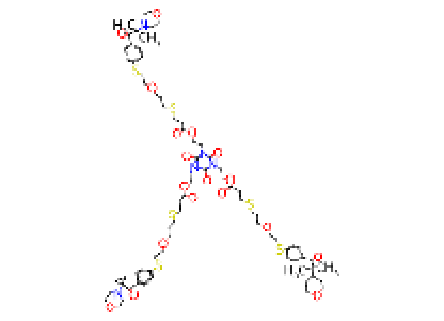 CC(C)(C(=O)c1ccc(SCCOCCCSCCC(=O)OCCn2c(=O)n(CCOC(=O)CCSCCCOCCSc3ccc(C(=O)C(C)(C)N4CCOCC4)cc3)c(=O)n(CCOC(=O)CCSCCCOCCSc3ccc(C(=O)C4(N5CCOCC5)CC4)cc3)c2=O)cc1)C1CCOCC1